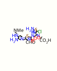 CNCCNc1cc[n+](CC2=C(C=O)N3C(=O)C(NC(=O)/C(=N\O[C@@H](C)C(=O)O)c4nc(N)sc4Cl)C3SC2)cc1N